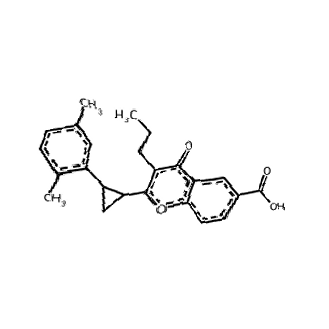 CCCc1c(C2CC2c2cc(C)ccc2C)oc2ccc(C(=O)O)cc2c1=O